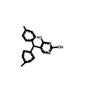 Cc1ccc(C(c2ccc(C)cc2)c2cnc(O)nc2O)cc1